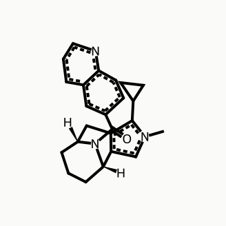 Cn1cc2c(c1C1CC1)C[C@H]1CCC[C@@H]2N1C(=O)c1ccc2ncccc2c1